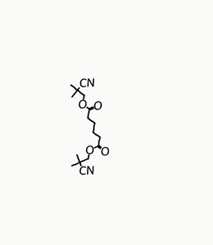 CC(C)(C#N)COC(=O)CCCCC(=O)OCC(C)(C)C#N